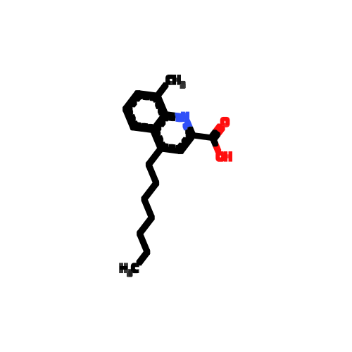 CCCCCCCc1cc(C(=O)O)nc2c(C)cccc12